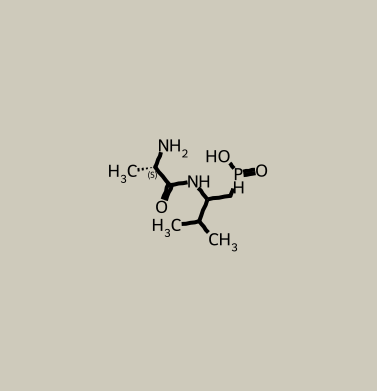 CC(C)C(C[PH](=O)O)NC(=O)[C@H](C)N